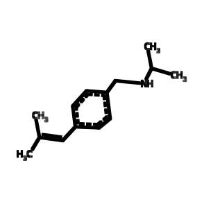 CC(C)=Cc1ccc(CNC(C)C)cc1